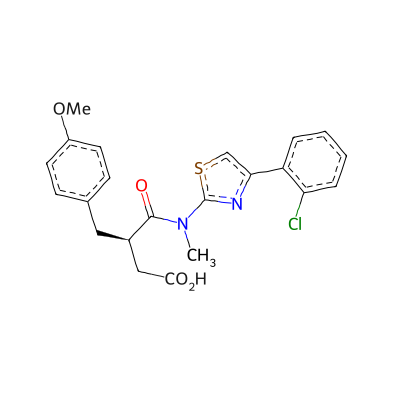 COc1ccc(C[C@H](CC(=O)O)C(=O)N(C)c2nc(-c3ccccc3Cl)cs2)cc1